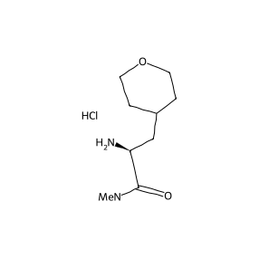 CNC(=O)[C@@H](N)CC1CCOCC1.Cl